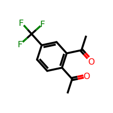 CC(=O)c1ccc(C(F)(F)F)cc1C(C)=O